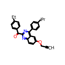 C#CCOc1ccc2nc(C(=O)c3ccc(CC)cc3)nc(-c3ccc(C(C)C)cc3)c2c1